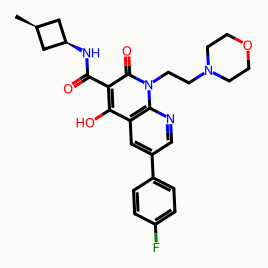 C[C@H]1C[C@@H](NC(=O)c2c(O)c3cc(-c4ccc(F)cc4)cnc3n(CCN3CCOCC3)c2=O)C1